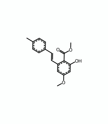 COC(=O)c1c(O)cc(OC)cc1C=Cc1ccc(C)cc1